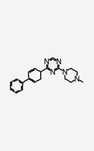 CN1CCN(c2ncnc(C3C=CC(c4ccccc4)=CC3)n2)CC1